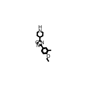 CCOc1ccc(-c2noc(C3CCNCC3)n2)cc1C